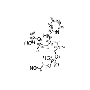 C[C@@H](COP(=O)(O)OCCC#N)C[C@H](C[C@@H](C)O[PH](=O)O)Nc1ncncn1